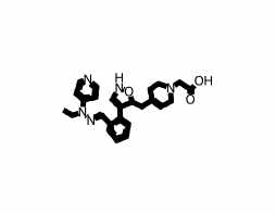 CCN(N=Cc1ccccc1C1=CNOC1CC1=CCN(CC(=O)O)CC1)c1ccncc1